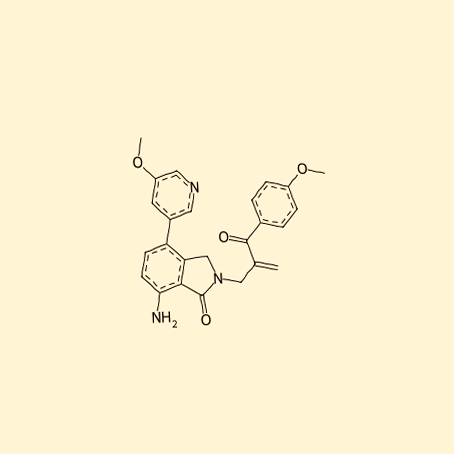 C=C(CN1Cc2c(-c3cncc(OC)c3)ccc(N)c2C1=O)C(=O)c1ccc(OC)cc1